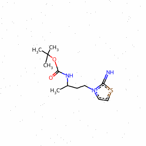 CC(CCn1ccsc1=N)NC(=O)OC(C)(C)C